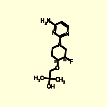 CC(C)(O)CO[C@H]1CCN(c2nccc(N)n2)C[C@H]1F